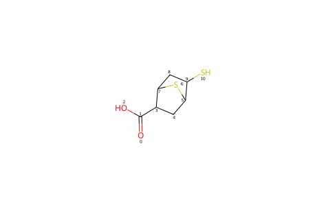 O=C(O)C1CC2SC1CC2S